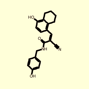 N#CC(=Cc1ccc(O)c2c1CCCC2)C(=O)NCc1ccc(O)cc1